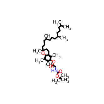 Cc1c(C)c2c(c(C)c1OC(=O)CNC(=O)OC(C)(C)C)CCC(C)(CCCC(C)CCCC(C)CCCC(C)C)O2